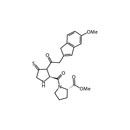 COC(=O)[C@@H]1CCCN1C(=O)[C@H]1NCC(=S)C1C(=O)CC1=Cc2cc(OC)ccc2C1